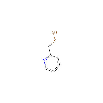 SSCc1ccccn1